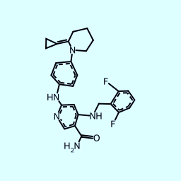 NC(=O)c1cnc(Nc2ccc(N3CCCCC3=C3CC3)cc2)cc1NCc1c(F)cccc1F